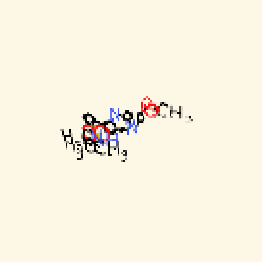 CCOC(=O)c1ccc(CN(CC#Cc2ccc(-c3ccccc3S(=O)(=O)NC(C)(C)C)cc2)c2cccc(C#N)c2)cc1